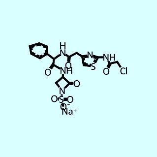 O=C(CCl)Nc1nc(CC(=O)NC(C(=O)NC2CN(S(=O)(=O)[O-])C2=O)c2ccccc2)cs1.[Na+]